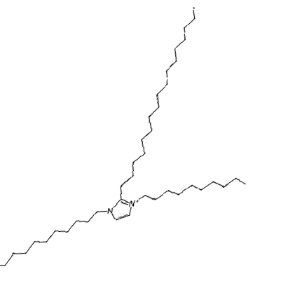 CCCCCCCCCCCCCCCCCc1n(CCCCCCCCCCC)cc[n+]1CCCCCCCCCC